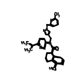 Cc1cccc(Cn2cc(CN(C(=O)C3CCCc4c(O)cccc43)c3ccc(C(C)C)nc3)cn2)n1